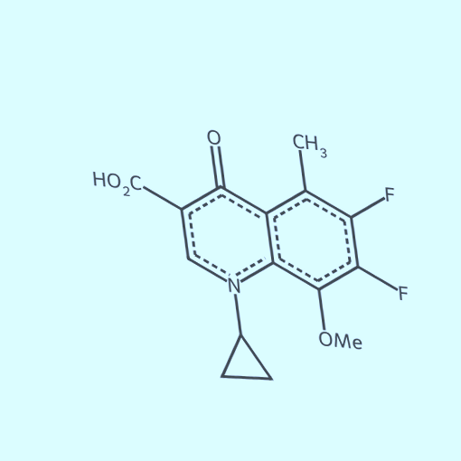 COc1c(F)c(F)c(C)c2c(=O)c(C(=O)O)cn(C3CC3)c12